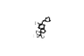 O=C(O)C1(Cl)CCc2cc(CC3CCCC3)c(Cl)cc21